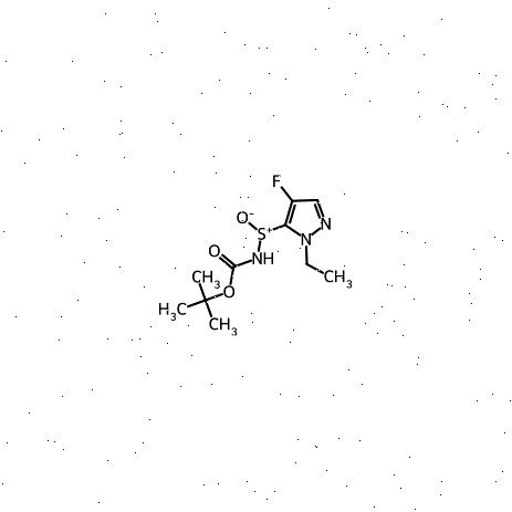 CCn1ncc(F)c1[S+]([O-])NC(=O)OC(C)(C)C